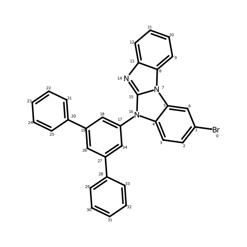 Brc1ccc2c(c1)n1c3ccccc3nc1n2-c1cc(-c2ccccc2)cc(-c2ccccc2)c1